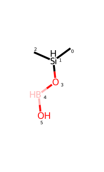 C[SiH](C)OBO